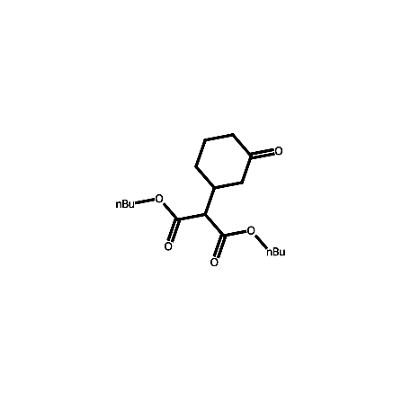 CCCCOC(=O)C(C(=O)OCCCC)C1CCCC(=O)C1